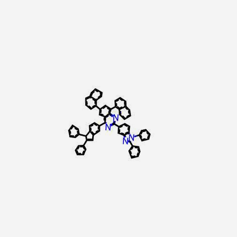 C1=C(c2ccccc2)C(c2ccccc2)c2ccc(-c3nc(-c4ccc5c(c4)nc(-c4ccccc4)n5-c4ccccc4)nc4c(-c5cccc6ccccc56)cc(-c5cccc6ccccc56)cc34)cc21